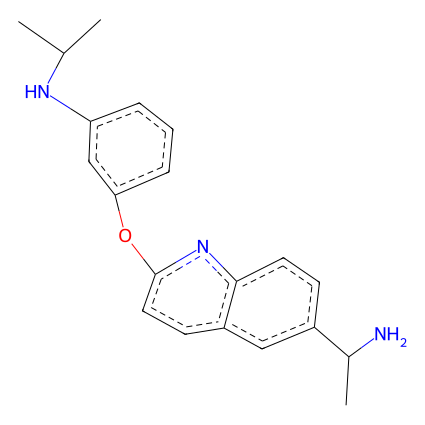 CC(C)Nc1cccc(Oc2ccc3cc(C(C)N)ccc3n2)c1